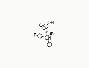 CC(C)c1nc(-c2ccccc2)cc(-c2ccc(F)cc2)c1C=CC1CC(O)CC(=O)O1